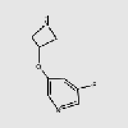 Fc1cncc(OC2CNC2)c1